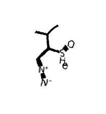 CC(C)C(C=[N+]=[N-])[SH](=O)=O